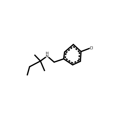 CCC(C)(C)NCc1ccc(Cl)cc1